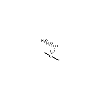 O.O.O.O.[F][Ca][F]